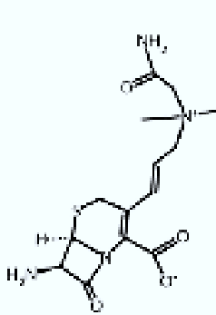 CC[N+](C)(C/C=C/C1=C(C(=O)[O-])N2C(=O)[C@@H](N)[C@H]2SC1)CC(N)=O